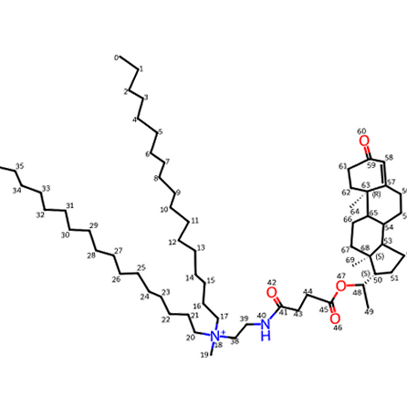 CCCCCCCCCCCCCCCCCC[N+](C)(CCCCCCCCCCCCCCCCCC)CCNC(=O)CCC(=O)OC(C)[C@H]1CCC2C3CCC4=CC(=O)CC[C@]4(C)C3CC[C@@]21C